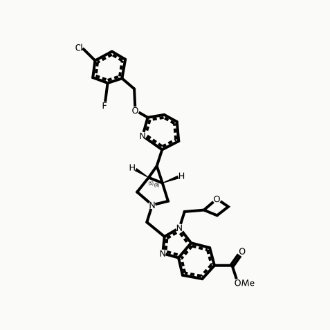 COC(=O)c1ccc2nc(CN3C[C@@H]4C(c5cccc(OCc6ccc(Cl)cc6F)n5)[C@@H]4C3)n(CC3CCO3)c2c1